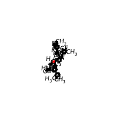 Cc1cc(-n2nc3c(c2-c2nnc(-c4ccc5c(cnn5C)c4F)o2)[C@H](C)N(C(=O)c2cc4cc([C@H]5CCOC(C)(C)C5)ccc4n2[C@@]2(c4noc(=O)[nH]4)C[C@@H]2C)CC3)cc(C)c1F